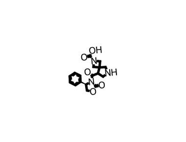 O=C(O)N1CC2(CNCC2C(=O)N2C(=O)OC[C@H]2c2ccccc2)C1